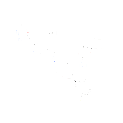 CCn1c(-c2nnc(C)o2)nc2c1CN([C@H]1CO[C@H](c3cc(F)ccc3F)[C@@H](NC(=O)OC(C)(C)C)C1)C2